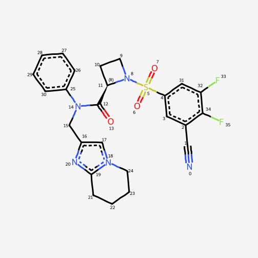 N#Cc1cc(S(=O)(=O)N2CC[C@@H]2C(=O)N(Cc2cn3c(n2)CCCC3)c2ccccc2)cc(F)c1F